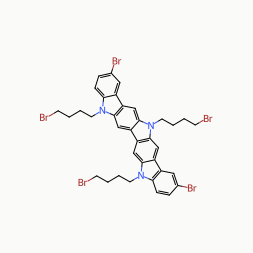 BrCCCCn1c2ccc(Br)cc2c2cc3c(cc21)c1cc2c(cc1n3CCCCBr)c1cc(Br)ccc1n2CCCCBr